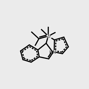 C[C](C)=[Zr]([CH3])([CH3])([CH3])([c]1ccc[nH]1)[CH]1C=Cc2ccccc21